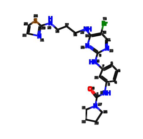 O=C(Nc1cccc(Nc2ncc(Br)c(NCCCNc3nccs3)n2)c1)N1CCCC1